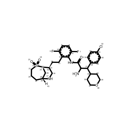 NC(C(=O)Nc1c(F)ccc(F)c1CC[C@H]1CN[C@@H]2CCCS(=O)(=O)N1C2)C(c1ccc(Cl)cc1)C1CCOCC1